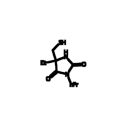 CCCN1C(=O)NC(CC)(CS)C1=O